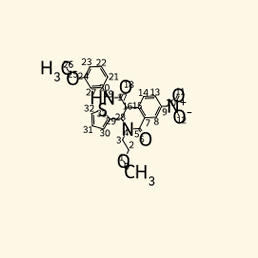 COCCN1C(=O)c2cc([N+](=O)[O-])ccc2C(C(=O)Nc2cccc(OC)c2)C1c1cccs1